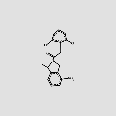 CC1c2cccc([N+](=O)[O-])c2CN1C(=O)Cc1c(Cl)cccc1Cl